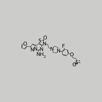 C[S@@+]([O-])CCOc1ccc(N2CCN(CCn3c(=O)sc4c3nc(N)n3nc(-c5ccco5)cc43)CC2)c(F)c1